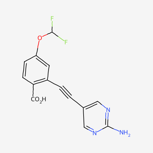 Nc1ncc(C#Cc2cc(OC(F)F)ccc2C(=O)O)cn1